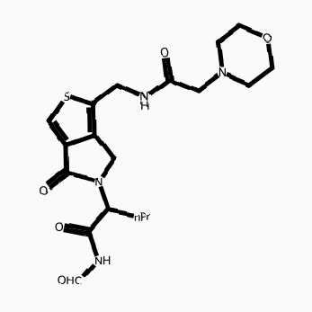 CCCC(C(=O)NC=O)N1Cc2c(csc2CNC(=O)CN2CCOCC2)C1=O